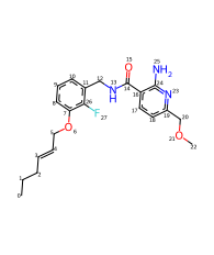 CCCC=CCOc1cccc(CNC(=O)c2ccc(COC)nc2N)c1F